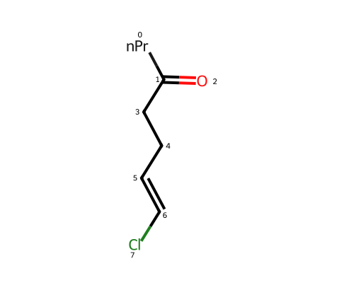 CCCC(=O)CCC=CCl